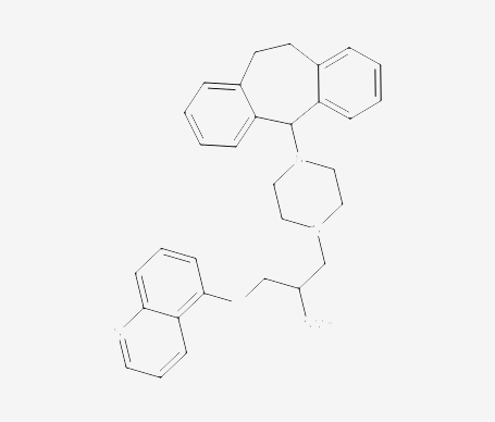 CNC(COc1cccc2ncccc12)CN1CCN(C2c3ccccc3CCc3ccccc32)CC1